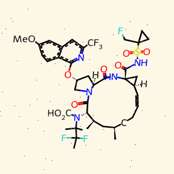 COc1ccc2c(O[C@@H]3C[C@H]4C(=O)N[C@]5(C(=O)NS(=O)(=O)C6(CF)CC6)C[C@H]5/C=C\CC[C@@H](C)C[C@@H](C)[C@H](N(C(=O)O)C(C)(C)C(C)(F)F)C(=O)N4C3)nc(C(F)(F)F)cc2c1